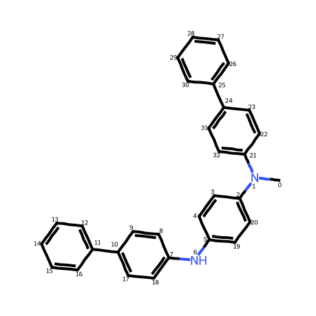 CN(c1ccc(Nc2ccc(-c3ccccc3)cc2)cc1)c1ccc(-c2ccccc2)cc1